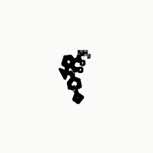 NC(=O)c1cccc2c1C(=O)N(C1CCN(C3CCC3)CC1)C21CC1